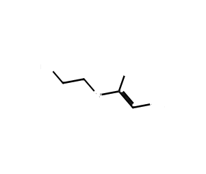 C/C=C(\C)NCCO